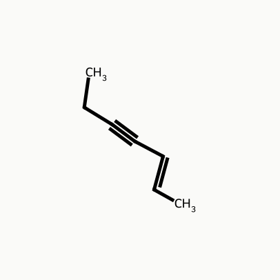 C/C=C/C#CCC